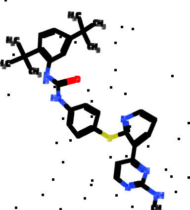 CNc1nccc(-c2cccnc2Sc2ccc(NC(=O)Nc3cc(C(C)(C)C)ccc3C(C)(C)C)cc2)n1